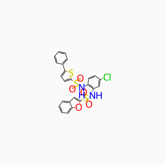 O=S(=O)(Nc1cc(Cl)ccc1NS(=O)(=O)c1ccc(-c2ccccc2)s1)c1cc2ccccc2o1